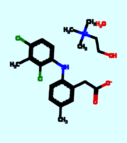 C[N+](C)(C)CCO.Cc1ccc(Nc2ccc(Cl)c(C)c2Cl)c(CC(=O)[O-])c1.O